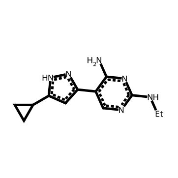 CCNc1ncc(-c2cc(C3CC3)[nH]n2)c(N)n1